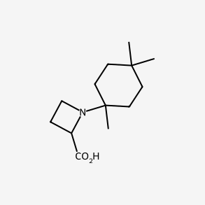 CC1(C)CCC(C)(N2CCC2C(=O)O)CC1